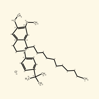 CCCCCCCCCCCC1=[N+](c2ccc(C(C)(C)C)cc2)CCc2cc(OC)c(OC)cc21.[Cl-]